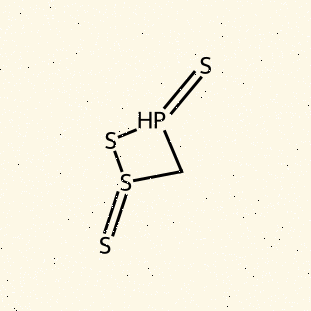 S=[PH]1CS(=S)S1